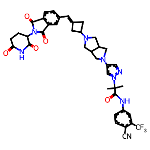 CC(C)(C(=O)Nc1ccc(C#N)c(C(F)(F)F)c1)n1cc(N2CC3CN(C4CC(=Cc5ccc6c(c5)C(=O)N(C5CCC(=O)NC5=O)C6=O)C4)CC3C2)cn1